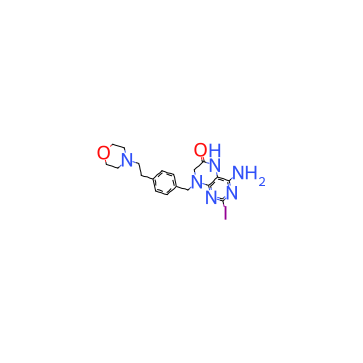 Nc1nc(I)nc2c1NC(=O)CN2Cc1ccc(CCN2CCOCC2)cc1